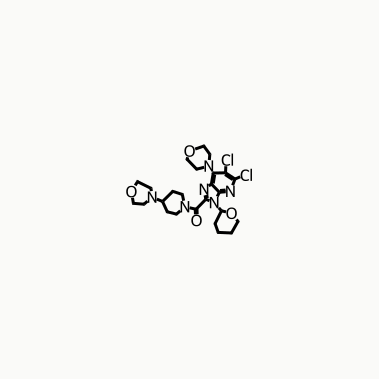 O=C(c1nc2c(N3CCOCC3)c(Cl)c(Cl)nc2n1C1CCCCO1)N1CCC(N2CCOCC2)CC1